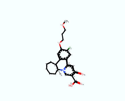 COCCCOc1cc2c(cc1Cl)-c1cc(=O)c(C(=O)O)cn1[C@H]1CCCCCC21